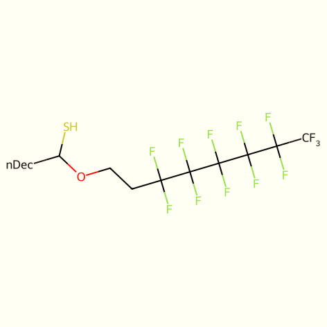 CCCCCCCCCCC(S)OCCC(F)(F)C(F)(F)C(F)(F)C(F)(F)C(F)(F)C(F)(F)F